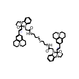 O=C(CN1c2ccccc2N2CCOC21/C=C/c1cc2c3c(c1)CCCN3CCC2)NCCSSCCNC(=O)CN1c2ccccc2N2CCOC21/C=C/c1cc2c3c(c1)CCCN3CCC2